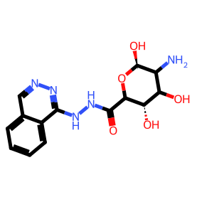 NC1C(O)[C@H](O)C(C(=O)NNc2nncc3ccccc23)O[C@H]1O